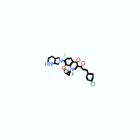 COc1c(N2CC3CCCNC3C2)c(F)cc2c(=O)c(C(=O)C=Cc3ccc(Cl)cc3)cn(C3CC3)c12